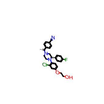 C[C@H](c1ccc(C#N)cc1)N1CCN(c2ccc(OCCO)cc2Cl)[C@H](c2ccc(F)cc2)C1